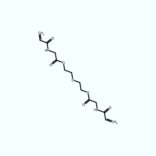 C=CC(=O)NCC(=O)OCCOCCOC(=O)CNC(=O)C=C